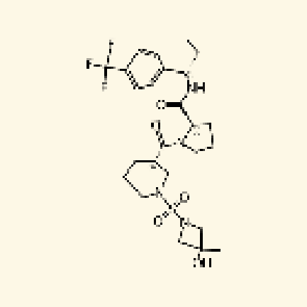 CC[C@H](NC(=O)[C@H]1CCCN1C(=O)[C@H]1CCCN(S(=O)(=O)N2CC(C)(O)C2)C1)c1ccc(C(F)(F)F)cc1